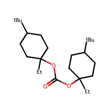 CCC1(OC(=O)OC2(CC)CCC(C(C)(C)C)CC2)CCC(C(C)(C)C)CC1